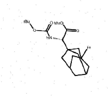 CCC12CC3CC(C1)CC([C@H](NC(=O)OC(C)(C)C)C(=O)OC)(C3)C2